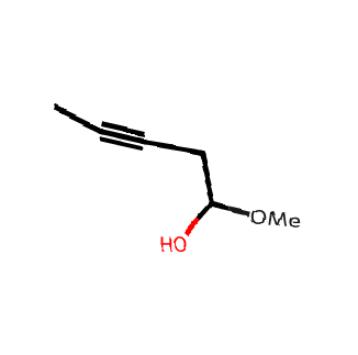 CC#CCC(O)OC